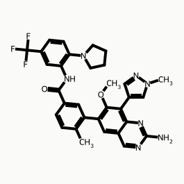 COc1c(-c2cc(C(=O)Nc3cc(C(F)(F)F)ccc3N3CCCC3)ccc2C)cc2cnc(N)nc2c1-c1cnn(C)c1